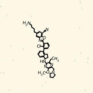 CCc1nc(CN2CCCC2)c(OC)nc1N[C@@H]1CCc2c(-c3cccc(-c4nc5cc(CCCCN)cc(C#N)c5o4)c3Cl)cccc21